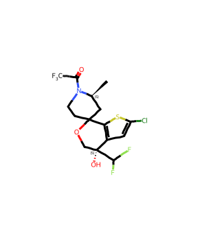 C[C@H]1CC2(CCN1C(=O)C(F)(F)F)OC[C@](O)(C(F)F)c1cc(Cl)sc12